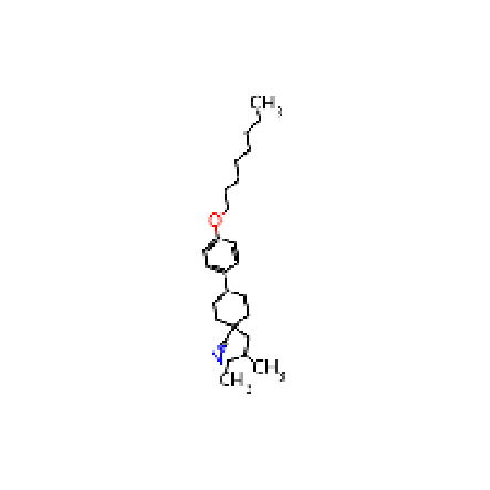 CCCCCCCCOc1ccc(C2CCC(C#N)(CC(C)CC)CC2)cc1